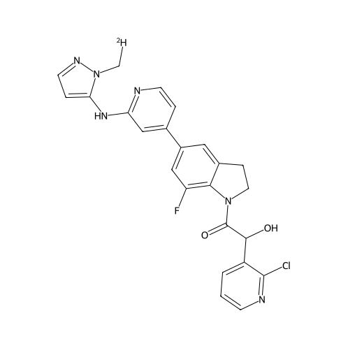 [2H]Cn1nccc1Nc1cc(-c2cc(F)c3c(c2)CCN3C(=O)C(O)c2cccnc2Cl)ccn1